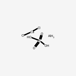 O=S(=O)(O)O.[AlH3].[Cl][Ca][Cl]